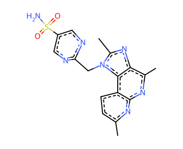 Cc1ccc2c(n1)nc(C)c1nc(C)n(Cc3ncc(S(N)(=O)=O)cn3)c12